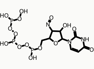 O=NC1C(COP(O)OOP(O)OOP(O)OO)OC(n2ccc(=O)[nH]c2=O)C1O